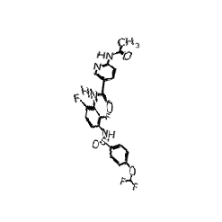 CC(=O)Nc1ccc(C(=O)Nc2c(F)ccc(N[S+]([O-])c3ccc(OC(F)F)cc3)c2F)cn1